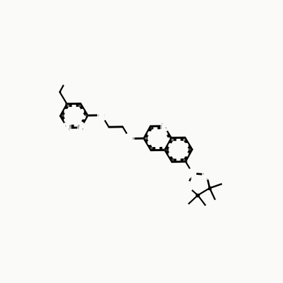 CC1(C)OB(c2ccc3ncc(OCCOc4cc(CO)cnn4)cc3c2)OC1(C)C